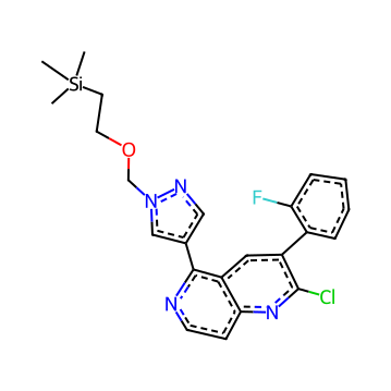 C[Si](C)(C)CCOCn1cc(-c2nccc3nc(Cl)c(-c4ccccc4F)cc23)cn1